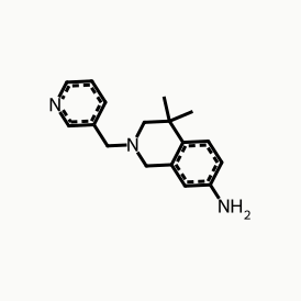 CC1(C)CN(Cc2cccnc2)Cc2cc(N)ccc21